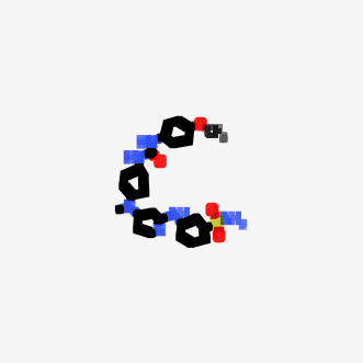 CN(c1ccc(NC(=O)Nc2ccc(OC(F)(F)F)cc2)cc1)c1ccnc(Nc2cccc(S(N)(=O)=O)c2)c1